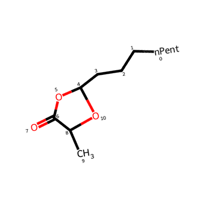 CCCCCCCCC1OC(=O)C(C)O1